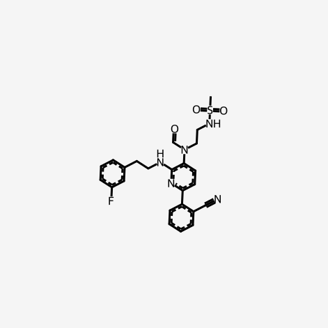 CS(=O)(=O)NCCN(C=O)c1ccc(-c2ccccc2C#N)nc1NCCc1cccc(F)c1